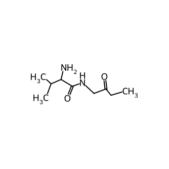 CCC(=O)CNC(=O)C(N)C(C)C